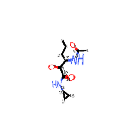 CCC[C@@H](NC(C)=O)C(=O)C(=O)NC1CC1